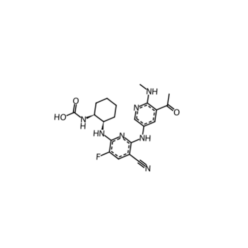 CNc1ncc(Nc2nc(N[C@@H]3CCCC[C@@H]3NC(=O)O)c(F)cc2C#N)cc1C(C)=O